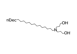 CCCCCCCCCCCCCCCCCCCCCCCCN(CCCO)CCCO